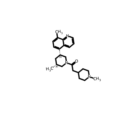 Cc1ccc([C@H]2C[C@@H](C)CN(C(=O)CC3CCN(C)CC3)C2)c2cccnc12